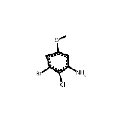 COc1cc(N)c(Cl)c(Br)c1